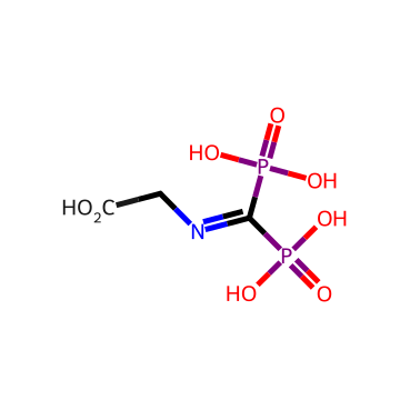 O=C(O)CN=C(P(=O)(O)O)P(=O)(O)O